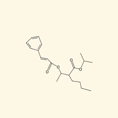 CCCCC(C(=O)OC(C)C)C(C)OC(=O)C=Cc1ccccc1